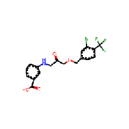 O=C(CNc1cccc(C(=O)O)c1)COCc1ccc(C(F)(F)F)c(Br)c1